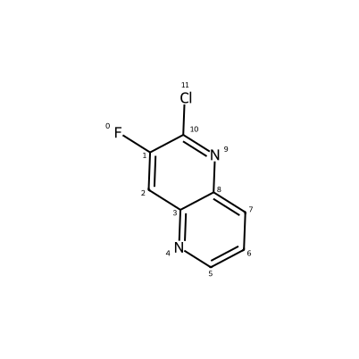 Fc1cc2ncccc2nc1Cl